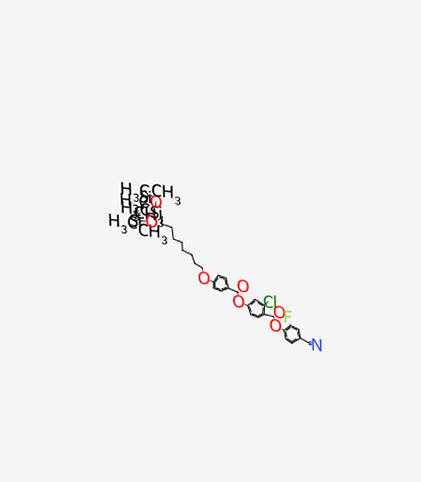 C[Si](C)(C)O[Si](C)(CCCCCCCCCOc1ccc(C(=O)Oc2ccc(C(=O)Oc3ccc(C#N)cc3F)c(Cl)c2)cc1)O[Si](C)(C)C